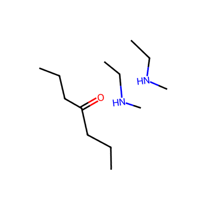 CCCC(=O)CCC.CCNC.CCNC